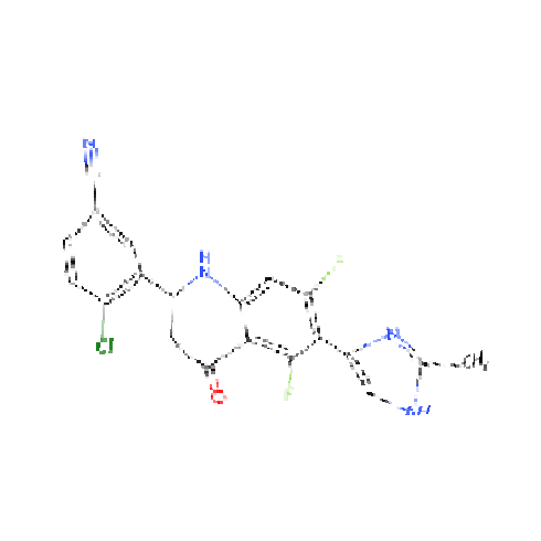 Cc1nc(-c2c(F)cc3[nH]c(-c4cc(C#N)ccc4Cl)cc(=O)c3c2F)c[nH]1